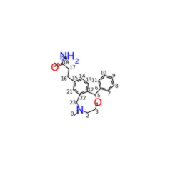 CN1CCOC(c2ccccc2)c2ccc(CCC(N)=O)cc2C1